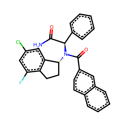 NC(=O)[C@@H](c1ccccc1)N(C(=O)c1ccc2ccccc2c1)[C@@H]1CCc2c(F)cc(Cl)cc21